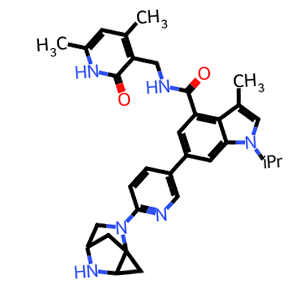 Cc1cc(C)c(CNC(=O)c2cc(-c3ccc(N4CC5CC46CC6N5)nc3)cc3c2c(C)cn3C(C)C)c(=O)[nH]1